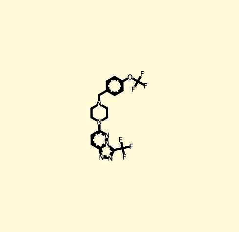 FC(F)(F)Oc1ccc(CN2CCN(c3ccc4nnc(C(F)(F)F)n4n3)CC2)cc1